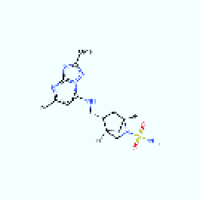 COc1nc2nc(C(C)C)cc(NC[C@@H]3C[C@@H]4C[C@H]3CN4S(N)(=O)=O)n2n1